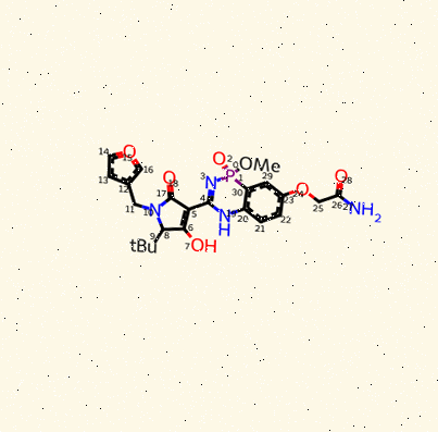 COP1(=O)N=C(C2=C(O)C(C(C)(C)C)N(Cc3ccoc3)C2=O)Nc2ccc(OCC(N)=O)cc21